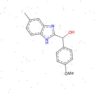 COc1ccc(C(O)c2nc3cc(C)ccc3[nH]2)cc1